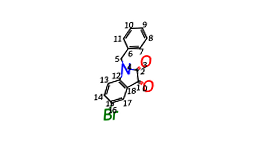 O=C1C(=O)N(Cc2ccccc2)c2ccc(Br)cc21